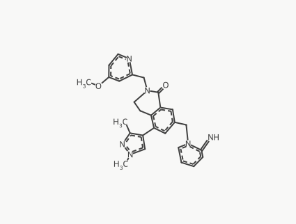 COc1ccnc(CN2CCc3c(cc(Cn4ccccc4=N)cc3-c3cn(C)nc3C)C2=O)c1